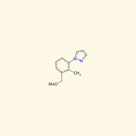 COCc1cccc(-n2cccn2)c1C